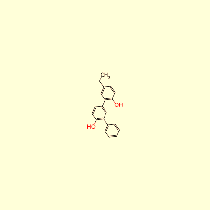 CCc1ccc(O)c(-c2ccc(O)c(-c3ccccc3)c2)c1